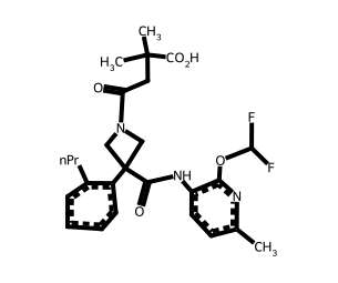 CCCc1ccccc1C1(C(=O)Nc2ccc(C)nc2OC(F)F)CN(C(=O)CC(C)(C)C(=O)O)C1